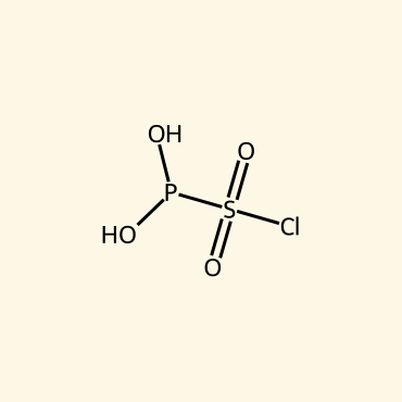 O=S(=O)(Cl)P(O)O